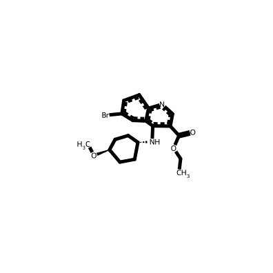 CCOC(=O)c1cnc2ccc(Br)cc2c1N[C@H]1CC[C@H](OC)CC1